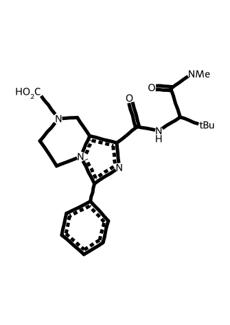 CNC(=O)C(NC(=O)c1nc(-c2ccccc2)n2c1CN(C(=O)O)CC2)C(C)(C)C